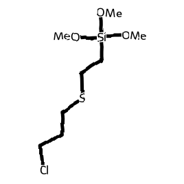 CO[Si](CCSCCCCl)(OC)OC